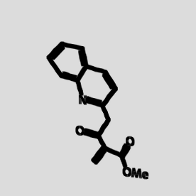 C=C(C(=O)Cc1ccc2ccccc2n1)C(=O)OC